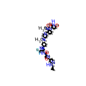 CN(C[C@H]1CC[C@H](n2cc(NC(=O)c3coc(-c4ccnc(NCC5CC5)c4)n3)c(C(F)F)n2)CC1)C1CCN(Cc2cccc3c2n(C)c(=O)n3[C@H]2CCC(=O)NC2=O)CC1